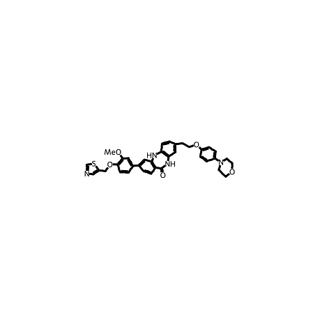 COc1cc(-c2ccc3c(c2)Nc2ccc(CCOc4ccc(N5CCOCC5)cc4)cc2NC3=O)ccc1OCc1cncs1